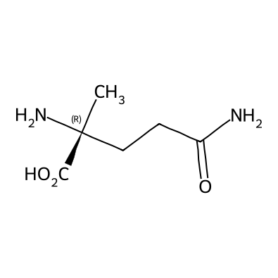 C[C@@](N)(CCC(N)=O)C(=O)O